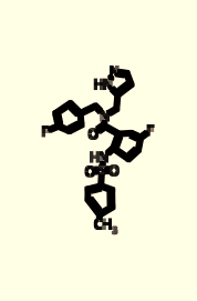 Cc1ccc(S(=O)(=O)Nc2ccc(F)cc2C(=O)N(Cc2ccc(F)cc2)Cc2ccn[nH]2)cc1